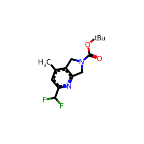 Cc1cc(C(F)F)nc2c1CN(C(=O)OC(C)(C)C)C2